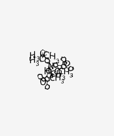 CC(C)(C)c1ccc(N(c2ccc3c(c2)C(C)(C)c2cc(-c4ccccc4)c4oc5ccccc5c4c2-3)c2ccc3c(c2)C(C)(C)c2cc(-c4ccccc4)c4oc5ccccc5c4c2-3)cc1